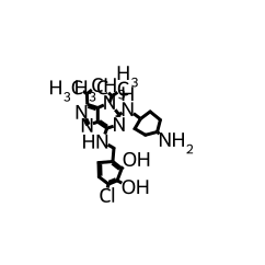 CC(C)c1nnc2c(NCc3ccc(Cl)c(O)c3O)nc(NC3CCC(N)CC3)n(C(C)C)c1-2